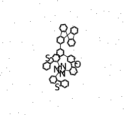 c1cc(-c2ccc3c(c2)C2(c4ccccc4-c4ccccc42)c2ccccc2-3)cc(-c2ccc3oc4cccc(-c5nc(-c6cccc7sc8ccccc8c67)nc(-c6cccc7sc8ccccc8c67)n5)c4c3c2)c1